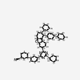 N#Cc1cccc(-c2cccc(-c3nc(-c4ccccc4)nc(-c4ccc5c(c4)oc4ccc(-c6ccccc6)c(-c6ccc(-c7ccccc7)cc6)c45)n3)c2)c1